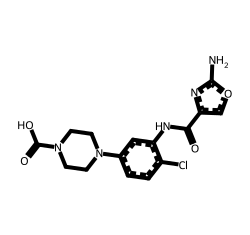 Nc1nc(C(=O)Nc2cc(N3CCN(C(=O)O)CC3)ccc2Cl)co1